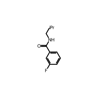 CC(C)CNC(=O)c1cccc(F)c1